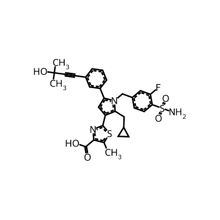 Cc1sc(-c2cc(-c3cccc(C#CC(C)(C)O)c3)n(Cc3ccc(S(N)(=O)=O)c(F)c3)c2CC2CC2)nc1C(=O)O